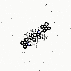 C=C/C=C1\C(=C/C)c2ccccc2C12c1ccccc1-c1ccc(-c3cc(C)c4c(c3)C(C)(C)C3CC5C(=C(\C)C=C)/C(=C\CC6=CC7=C(CC6)c6ccccc6C76c7ccccc7C7C=CCCC76)C(C)(C)C5C=C43)cc12